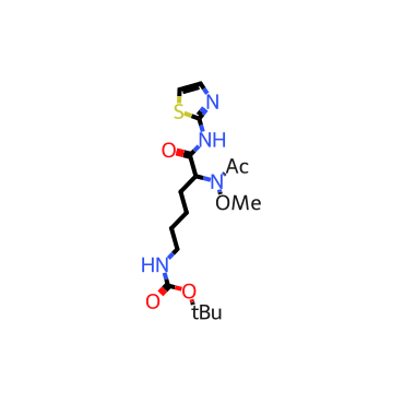 CON(C(C)=O)C(CCCCNC(=O)OC(C)(C)C)C(=O)Nc1nccs1